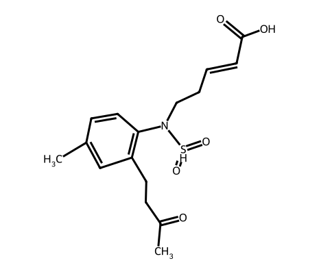 CC(=O)CCc1cc(C)ccc1N(CC/C=C/C(=O)O)[SH](=O)=O